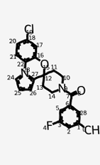 Cc1cc(F)cc(C(=O)N2CCC3(CC2)Oc2cc(Cl)ccc2-n2cccc23)c1